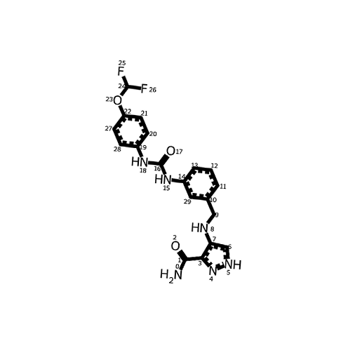 NC(=O)c1n[nH]cc1NCc1cccc(NC(=O)Nc2ccc(OC(F)F)cc2)c1